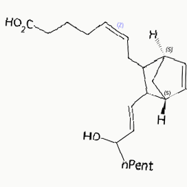 CCCCCC(O)C=CC1C(C/C=C\CCCC(=O)O)[C@H]2C=C[C@H]1C2